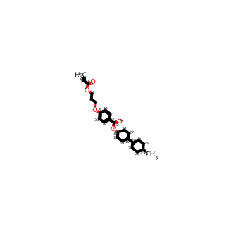 C=CC(=O)OCCCOc1ccc(C(=O)OC2CCC(C3CCC(C)CC3)CC2)cc1